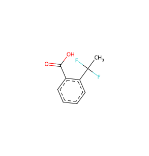 CC(F)(F)c1ccccc1C(=O)O